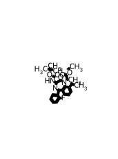 CCOC(=O)CN1C(=O)C(NC(=O)OC(C)(C)C)N=C(c2ccccc2F)c2cccc(C(C)C)c21